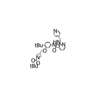 CC(C)(C)OC(=O)N1CC(COc2cc(NC(=O)c3cccnc3NCc3ccncc3)ccc2C(C)(C)C)C1